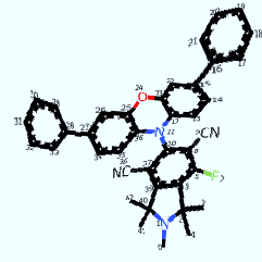 CN1C(C)(C)c2c(F)c(C#N)c(N3c4ccc(-c5ccccc5)cc4Oc4cc(-c5ccccc5)ccc43)c(C#N)c2C1(C)C